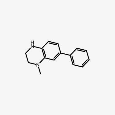 CN1CCNc2ccc(-c3ccccc3)cc21